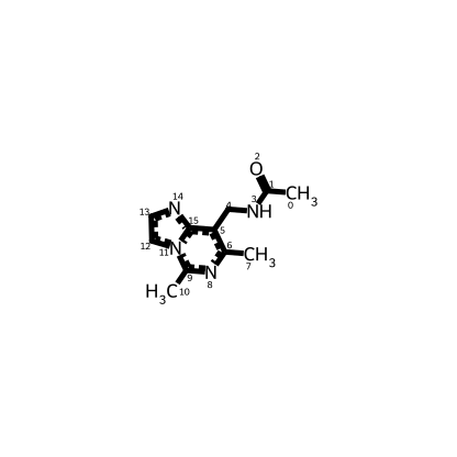 CC(=O)NCc1c(C)nc(C)n2ccnc12